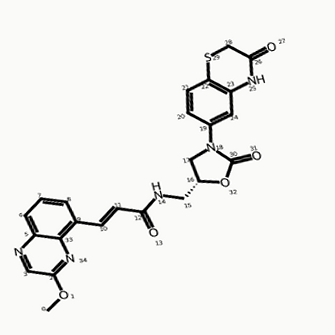 COc1cnc2cccc(C=CC(=O)NC[C@@H]3CN(c4ccc5c(c4)NC(=O)CS5)C(=O)O3)c2n1